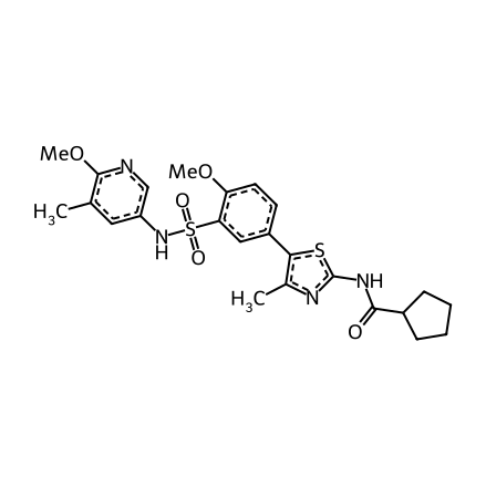 COc1ccc(-c2sc(NC(=O)C3CCCC3)nc2C)cc1S(=O)(=O)Nc1cnc(OC)c(C)c1